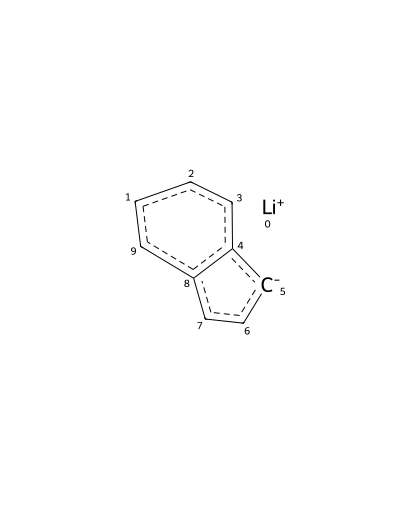 [Li+].c1ccc2[cH-]ccc2c1